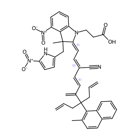 C=CCC(CC=C)(C(=C)/C=C/C(C#N)=C/C=C1/N(CCC(=O)O)c2cccc([N+](=O)[O-])c2C1(C)Cc1ccc([N+](=O)[O-])[nH]1)c1c(C)ccc2ccccc12